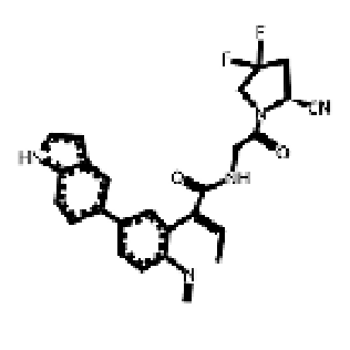 C=Nc1ccc(-c2ccc3[nH]ccc3c2)cc1/C(=C\C)C(=O)NCC(=O)N1CC(F)(F)C[C@H]1C#N